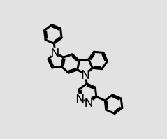 c1ccc(-c2cc(-n3c4ccccc4c4cc5c(ccn5-c5ccccc5)cc43)cnn2)cc1